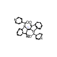 O=C1/C(=C2/C(=O)c3ccccc3N2C(O)c2ccncc2)N(C(=O)c2ccncc2)c2ccccc21